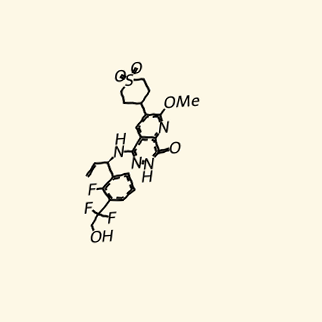 C=C[C@@H](Nc1n[nH]c(=O)c2nc(OC)c(C3CCS(=O)(=O)CC3)cc12)c1cccc(C(F)(F)CO)c1F